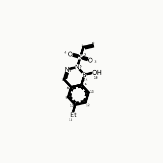 C=CS(=O)(=O)N1N=Cc2cc(CC)ccc2B1O